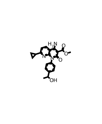 COC(=O)c1c(N)c2ccc(C3CC3)nc2n(-c2ccc(C(C)O)cc2)c1=O